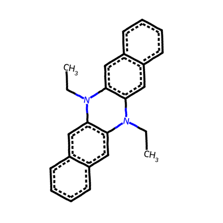 CCN1c2cc3ccccc3cc2N(CC)c2cc3ccccc3cc21